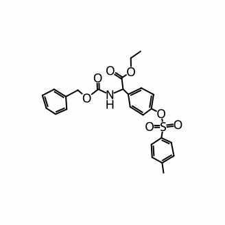 CCOC(=O)C(NC(=O)OCc1ccccc1)c1ccc(OS(=O)(=O)c2ccc(C)cc2)cc1